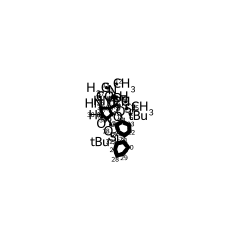 C[C@H](O[Si](C)(C)C(C)(C)C)[C@@]1(NC(=O)N(C)C)C(=O)[C@]2(CO[Si](c3ccccc3)(c3ccccc3)C(C)(C)C)O[C@@H]2[C@@H]1NC(=O)O